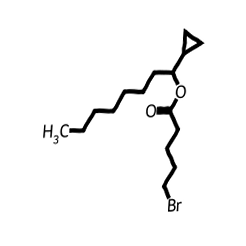 CCCCCCCC(OC(=O)CCCCBr)C1CC1